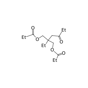 CCC(=O)CC(CC)(COC(=O)CC)COC(=O)CC